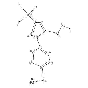 CCOc1cc(C(F)(F)F)nn1-c1ccc(CO)cc1